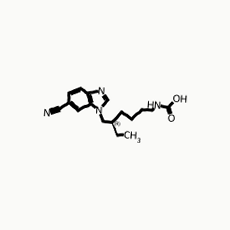 CC[C@H](CCCCNC(=O)O)Cn1cnc2ccc(C#N)cc21